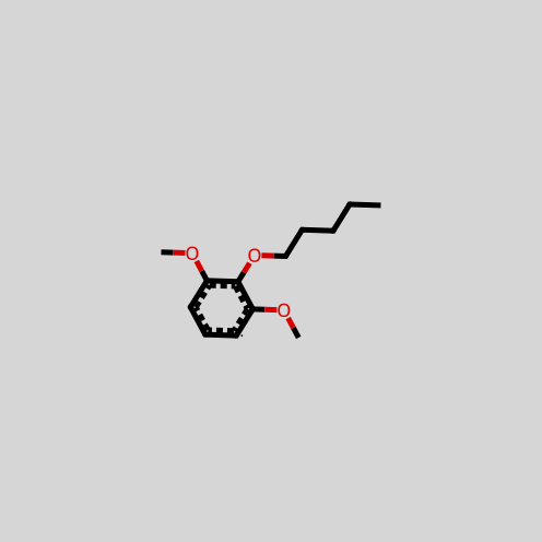 CCCCCOc1c(OC)[c]ccc1OC